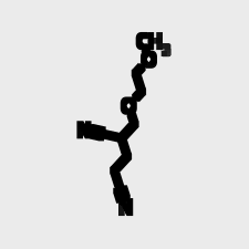 COCCOCC(C#N)CCC#N